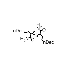 CCCCCCCCCCCCC(SSC(CCCCCCCCCCCC)C(N)=O)C(N)=O